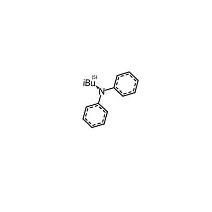 CC[C@H](C)N(c1ccccc1)c1ccccc1